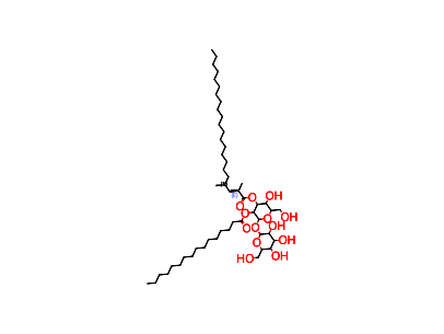 CCCCCCCCCCCCCCCCCC[C@H](C)/C=C(\C)C(=O)OC1C(O)C(CO)OC(OC2OC(CO)C(O)C(O)C2O)C1OC(=O)CCCCCCCCCCCCCCC